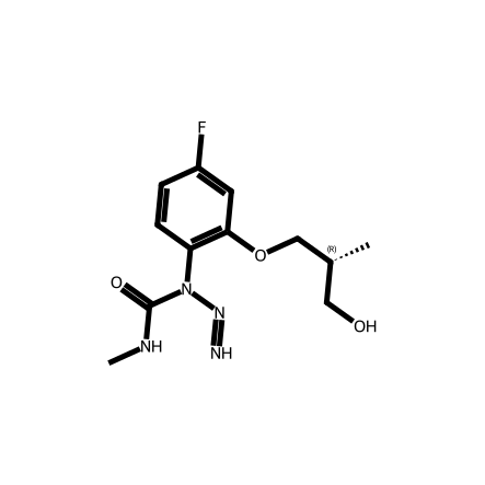 CNC(=O)N(N=N)c1ccc(F)cc1OC[C@H](C)CO